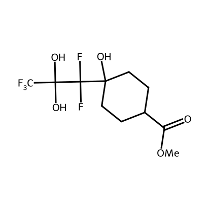 COC(=O)C1CCC(O)(C(F)(F)C(O)(O)C(F)(F)F)CC1